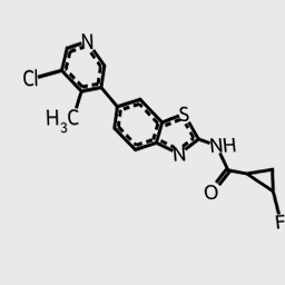 Cc1c(Cl)cncc1-c1ccc2nc(NC(=O)C3CC3F)sc2c1